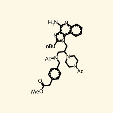 CCCCc1nc2c(N)nc3ccccc3c2n1CC(CN(Cc1ccc(CC(=O)OC)cc1)C(C)=O)N1CCN(C(C)=O)CC1